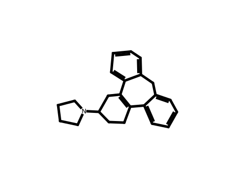 c1ccc2c(c1)Cc1ccccc1C1=C2CCC(N2CCCC2)C1